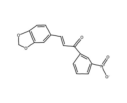 O=C(C=Cc1ccc2c(c1)OCO2)c1cccc([N+](=O)[O-])c1